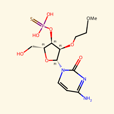 COCCO[C@@H]1[C@H](OP(O)(O)=S)[C@@H](CO)O[C@H]1n1ccc(N)nc1=O